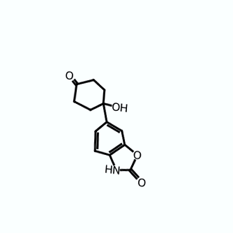 O=C1CCC(O)(c2ccc3[nH]c(=O)oc3c2)CC1